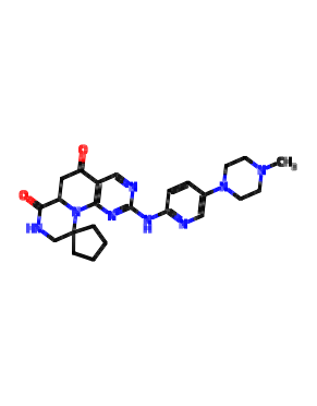 CN1CCN(c2ccc(Nc3ncc4c(n3)N3C(CC4=O)C(=O)NCC34CCCC4)nc2)CC1